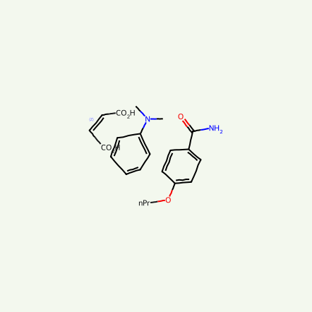 CCCOc1ccc(C(N)=O)cc1.CN(C)c1ccccc1.O=C(O)/C=C\C(=O)O